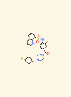 Cc1cc(C(=O)N2CCN(Cc3ccc(F)cc3)CC2)ccc1NS(=O)(=O)c1cccc2cccnc12